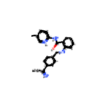 CNC(=N)c1ccc(CNc2ccccc2C(=O)Nc2ccc(C)cn2)cc1